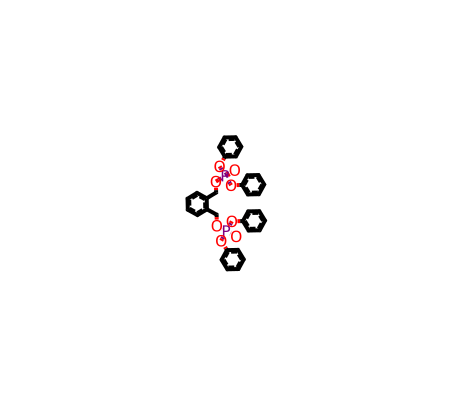 O=P(OCc1ccccc1COP(=O)(Oc1ccccc1)Oc1ccccc1)(Oc1ccccc1)Oc1ccccc1